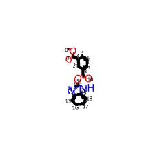 COC(=O)c1cccc(C(=O)Oc2nc3ccccc3[nH]2)c1